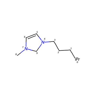 CC(C)CCCN1C=CN(C)C1